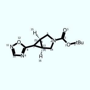 CC(C)(C)OC(=O)N1C[C@@H]2C(c3ncno3)[C@@H]2C1